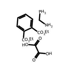 CCOC(=O)c1ccccc1C(=O)OCC.NCP.O=C(O)C(=O)O